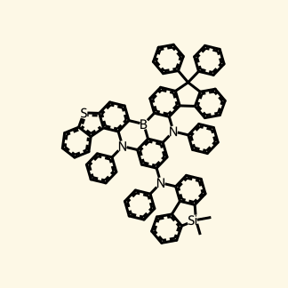 C[Si]1(C)c2ccccc2-c2c(N(c3ccccc3)c3cc4c5c(c3)N(c3ccccc3)c3c(ccc6sc7ccccc7c36)B5c3ccc5c(c3N4c3ccccc3)-c3ccccc3C5(c3ccccc3)c3ccccc3)cccc21